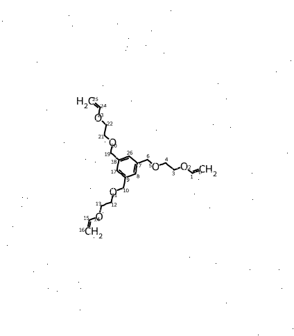 C=COCCOCc1cc(COCCOC=C)cc(COCCOC=C)c1